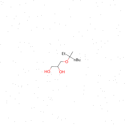 CCCCC(C)(CC)OCC(O)CO